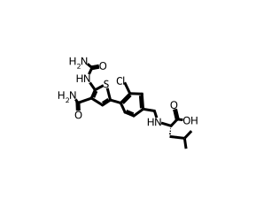 CC(C)C[C@H](NCc1ccc(-c2cc(C(N)=O)c(NC(N)=O)s2)c(Cl)c1)C(=O)O